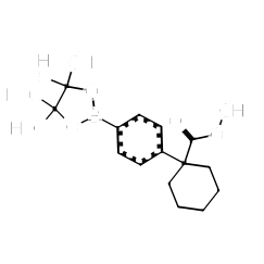 COC(=O)C1(c2ccc(B3OC(C)(C)C(C)(C)O3)cc2)CCCCC1